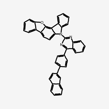 c1ccc2cc(-c3ccc(-c4nc(-n5c6ccccc6c6c7oc8ccccc8c7ccc65)nc5ccccc45)cc3)ccc2c1